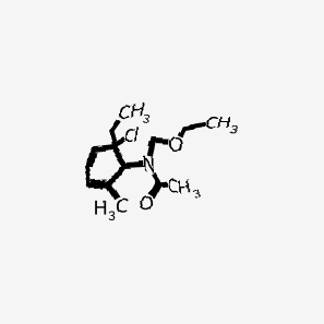 CCOCN(C(C)=O)C1C(C)=CC=CC1(Cl)CC